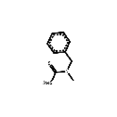 CSC(=S)N(C)Cc1ccccc1